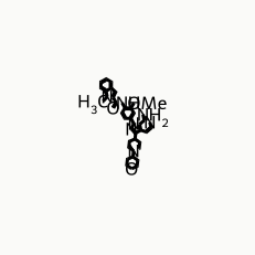 COc1cc(-n2nc(C3CCN(C4CCOCC4)CC3)c3ccnc(N)c32)ccc1NC(=O)c1cc2ccccc2n1C